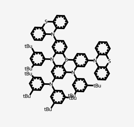 CC(C)(C)c1cc(N(c2cc(C(C)(C)C)cc(C(C)(C)C)c2)c2cc3c4c(c2)N(c2cc(C(C)(C)C)cc(C(C)(C)C)c2)c2cc(N5c6ccccc6Sc6ccccc65)ccc2B4c2ccc(N4c5ccccc5Sc5ccccc54)cc2N3c2cc(C(C)(C)C)cc(C(C)(C)C)c2)cc(C(C)(C)C)c1